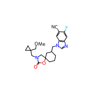 COCC1(CN2CC3(CCCC(Cn4cnc5cc(F)c(C#N)cc54)C3)OC2=O)CC1